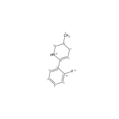 CC1CC=C(c2ccccc2F)NC1